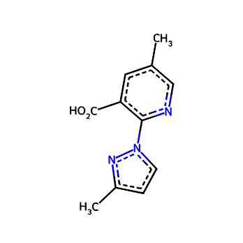 Cc1cnc(-n2ccc(C)n2)c(C(=O)O)c1